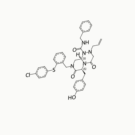 C=CCN1CC(=O)N2[C@@H](Cc3ccc(O)cc3)C(=O)N(Cc3ccccc3Sc3ccc(Cl)cc3)C[C@@H]2N1C(=O)NCc1ccccc1